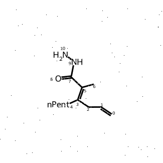 C=CCC(CCCCC)=C(C)C(=O)NN